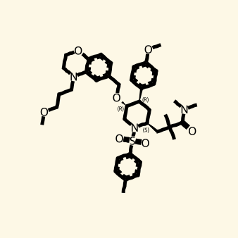 COCCCN1CCOc2ccc(CO[C@H]3CN(S(=O)(=O)c4ccc(C)cc4)[C@H](CC(C)(C)C(=O)N(C)C)C[C@@H]3c3ccc(OC)cc3)cc21